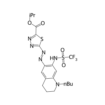 CCCCN1CCCc2cc(N=Nc3nnc(C(=O)OC(C)C)s3)c(NS(=O)(=O)C(F)(F)F)cc21